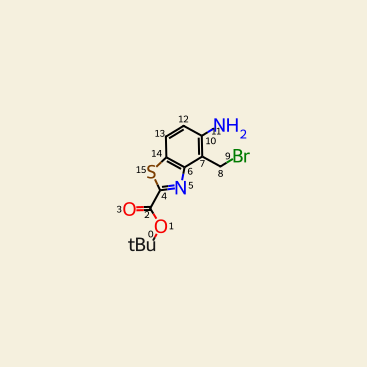 CC(C)(C)OC(=O)c1nc2c(CBr)c(N)ccc2s1